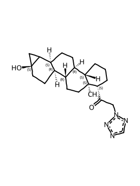 C[C@]12CC[C@@H]3[C@H]4CC[C@]5(O)CC5[C@H]4CC[C@H]3[C@@H]1CCC[C@@H]2C(=O)Cn1ncnn1